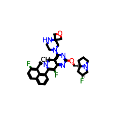 C#Cc1c(F)ccc2cccc(-c3ncc4c(N5CCNC6(COC6)C5)nc(OC[C@@]56CCCN5C[C@H](F)C6)nc4c3F)c12